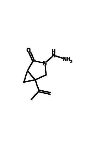 C=C(C)C12CC1C(=O)N(NN)C2